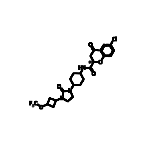 O=C1C[C@H](C(=O)NC2CCC(N3CCN(C4CC(OC(F)(F)F)C4)C3=O)CC2)Oc2ccc(Cl)cc21